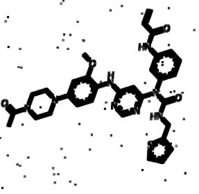 C=CC(=O)Nc1cccc(N(C(=O)NCc2cccs2)c2cc(Nc3ccc(N4CCN(C(C)=O)CC4)cc3OC)ncn2)c1